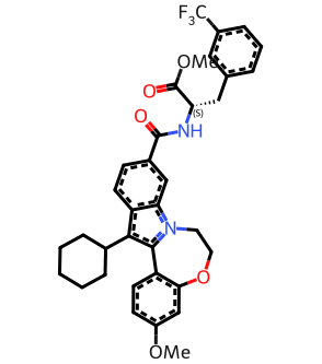 COC(=O)[C@H](Cc1cccc(C(F)(F)F)c1)NC(=O)c1ccc2c(C3CCCCC3)c3n(c2c1)CCOc1cc(OC)ccc1-3